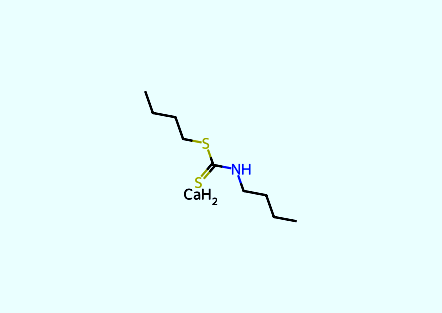 CCCCNC(=S)SCCCC.[CaH2]